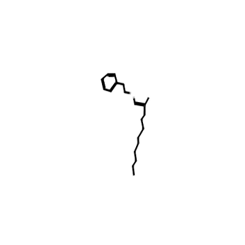 CCCCCCCCC/C(C)=C/OCCc1ccccc1